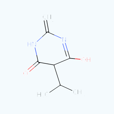 C=C1N=C(O)C(C(C)C)C(=O)N1